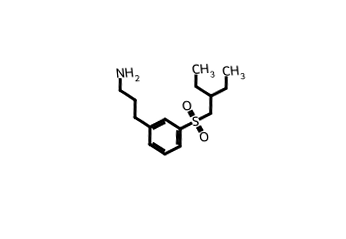 CCC(CC)CS(=O)(=O)c1cccc(CCCN)c1